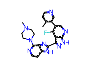 Cc1ccncc1-c1cnc2[nH]nc(-c3nc4c(N5CCN(C)CC5)nccc4[nH]3)c2c1F